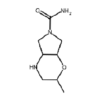 CC1CNC2CN(C(N)=O)CC2O1